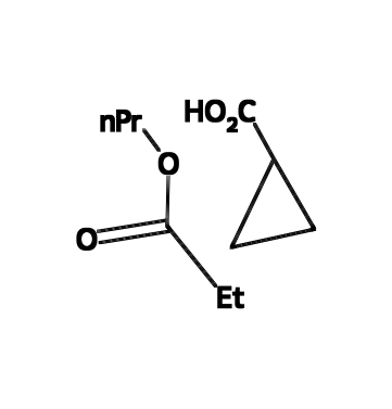 CCCOC(=O)CC.O=C(O)C1CC1